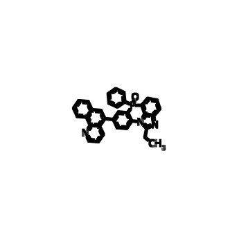 CCc1nc2cccc3c2n1-c1ccc(-c2cc4ccccc4c4ncccc24)cc1P3(=O)c1ccccc1